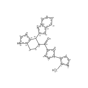 Cn1nccc1-c1nnc(C(=O)N2CCc3[nH]cnc3C2c2cc3ccccn3n2)o1